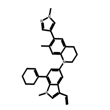 C=Cc1cn(C)c2c(C3=CCCCC3)cc(N3CCCc4cc(-c5cnn(C)c5)c(C)cc43)cc12